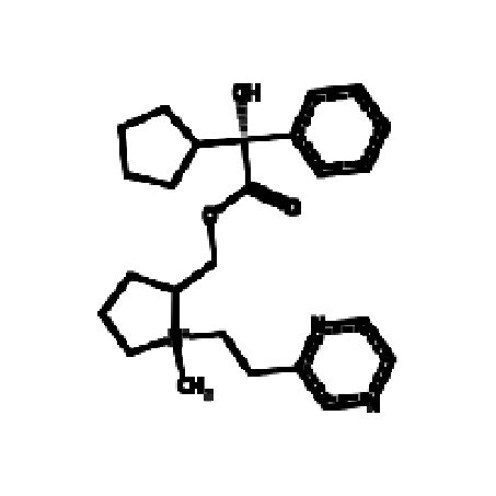 C[N+]1(CCc2cnccn2)CCCC1COC(=O)[C@](O)(c1ccccc1)C1CCCC1